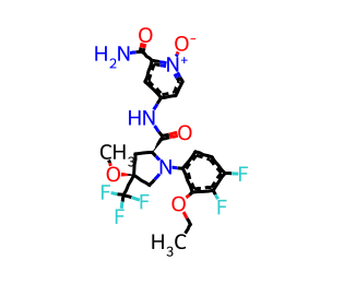 CCOc1c(N2C[C@](OC)(C(F)(F)F)C[C@H]2C(=O)Nc2cc[n+]([O-])c(C(N)=O)c2)ccc(F)c1F